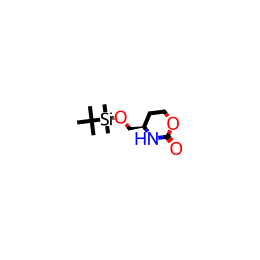 CC(C)(C)[Si](C)(C)OC[C@H]1CCOC(=O)N1